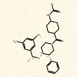 CCC(=O)NC1CCC(C(=O)N2CC[C@@H](O[C@H](C)c3cc(C(F)(F)F)cc(C(F)(F)F)c3)[C@@H](c3ccccc3)C2)CC1